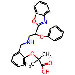 CC(C)(Oc1ccccc1CNCC(Oc1ccccc1)c1nc2ccccc2o1)C(=O)O